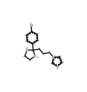 CCc1ccc(C2(CCCn3ccnc3)OCCO2)cc1